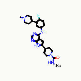 CN1CC=C(c2cc(Nc3ncnc4[nH]c(C5=CCN(C(=O)NC(C)(C)C)CC5)cc34)ccc2F)CC1